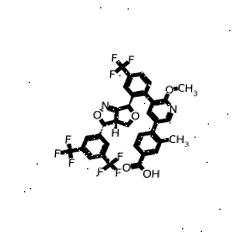 COc1ncc(-c2ccc(C(=O)O)cc2C)cc1-c1ccc(C(F)(F)F)cc1[C@H]1OC[C@H]2C1=NO[C@H]2c1cc(C(F)(F)F)cc(C(F)(F)F)c1